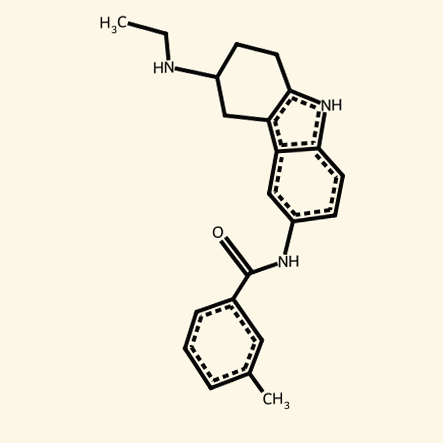 CCNC1CCc2[nH]c3ccc(NC(=O)c4cccc(C)c4)cc3c2C1